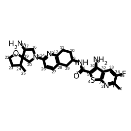 Cc1nc2sc(C(=O)NC3CCc4nc(N5CC(N)C6(C5)OCCC6C)ccc4C3)c(N)c2cc1F